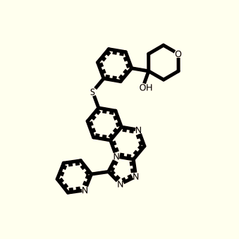 OC1(c2cccc(Sc3ccc4c(c3)ncc3nnc(-c5ccccn5)n34)c2)CCOCC1